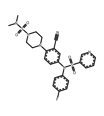 CN(C)S(=O)(=O)N1CCN(c2ccc(N(c3ccc(F)cc3)S(=O)(=O)c3cccnc3)cc2C#N)CC1